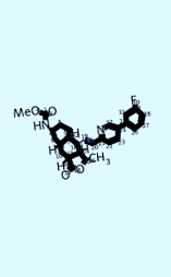 COC(=O)N[C@H]1CC[C@@H]2[C@@H](C1)C[C@H]1C(=O)O[C@H](C)[C@H]1[C@H]2/C=C/c1ccc(-c2cccc(F)c2)cn1